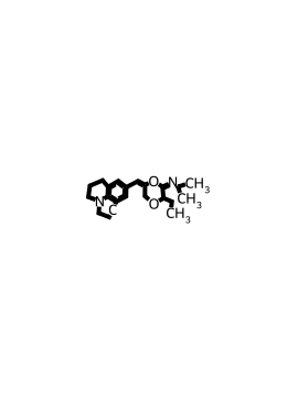 CCC1OC/C(=C\c2cc3c4c(c2)CCCN4CCC3)O/C1=N/C(C)C